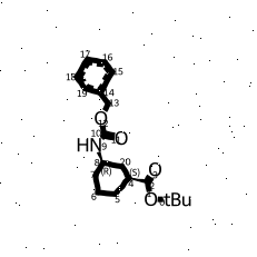 CC(C)(C)OC(=O)[C@H]1CCC[C@@H](NC(=O)OCc2ccccc2)C1